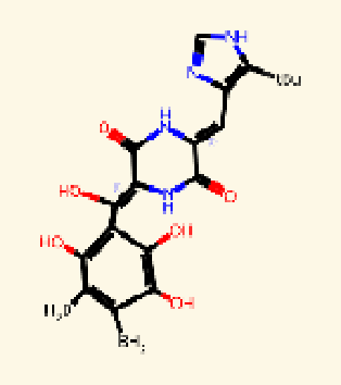 Bc1c(B)c(O)c(/C(O)=c2\[nH]c(=O)/c(=C/c3nc[nH]c3C(C)(C)C)[nH]c2=O)c(O)c1O